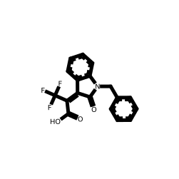 O=C(O)C(=C1C(=O)N(Cc2ccccc2)c2ccccc21)C(F)(F)F